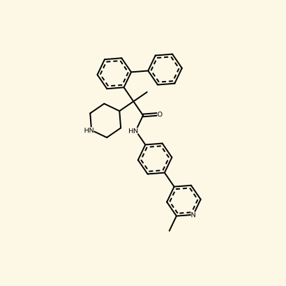 Cc1cc(-c2ccc(NC(=O)C(C)(c3ccccc3-c3ccccc3)C3CCNCC3)cc2)ccn1